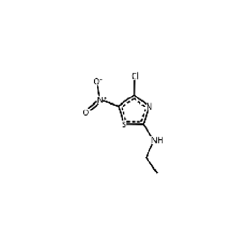 CCNc1nc(Cl)c([N+](=O)[O-])s1